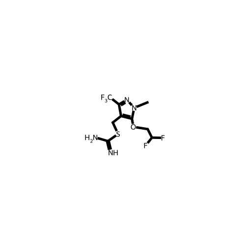 Cn1nc(C(F)(F)F)c(CSC(=N)N)c1OCC(F)F